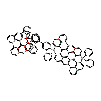 c1ccc(-c2cccc(-c3cccc(-c4ccccc4)c3B3c4ccccc4[Si](c4ccccc4)(c4ccc(-c5cccc([Si]6(c7ccccc7)c7ccccc7B(c7ccccc7-c7ccccc7B7c8ccccc8[Si](c8ccccc8)(c8ccccc8)c8ccccc87)c7ccccc76)c5)cc4)c4ccccc43)c2B2c3ccccc3[Si](c3ccccc3)(c3ccccc3)c3ccccc32)cc1